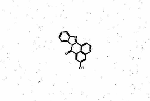 O=c1c2cc(O)cc3cccc(c32)c2nc3ccccc3n12